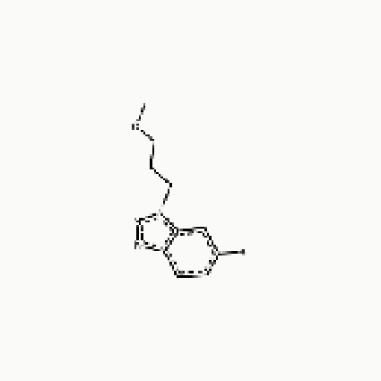 COCCCn1nnc2ccc(Br)cc21